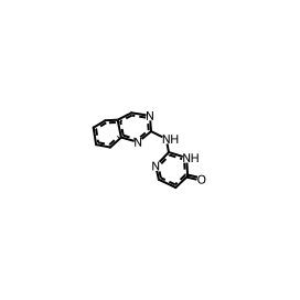 O=c1ccnc(Nc2ncc3ccccc3n2)[nH]1